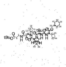 CC(C)(C)OC(=O)CCNC(=O)C(=O)[C@H](CC1CC1)NC(=O)[C@@H]1[C@@H]2[C@H](CN1C(=O)[C@@H](NC(=O)N[C@H](C(=O)OCc1ccccc1)C1CCC1)C(C)(C)C)C2(C)C